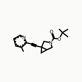 Cc1cccnc1C#CC12CC1CN(C(=O)OC(C)(C)C)C2